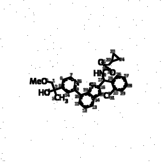 COCC(C)(O)c1ccnc(-c2cccc3cc(C(NS(=O)(=O)C4CC4)c4ccccc4Cl)sc23)c1